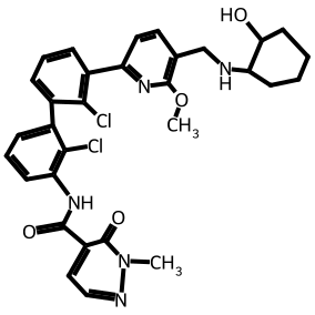 COc1nc(-c2cccc(-c3cccc(NC(=O)c4ccnn(C)c4=O)c3Cl)c2Cl)ccc1CNC1CCCCC1O